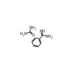 N=C(N)c1ccccc1.NC(N)=O